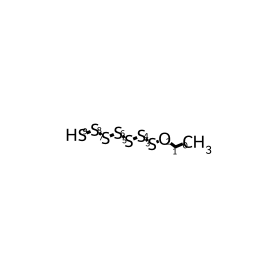 CCOSSSSSSS